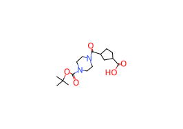 CC(C)(C)OC(=O)N1CCN(C(=O)C2CCC(C(=O)O)C2)CC1